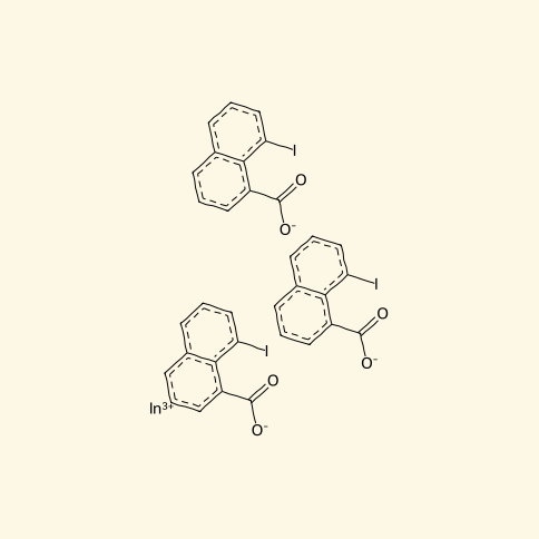 O=C([O-])c1cccc2cccc(I)c12.O=C([O-])c1cccc2cccc(I)c12.O=C([O-])c1cccc2cccc(I)c12.[In+3]